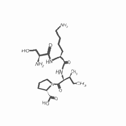 CC[C@H](C)[C@H](NC(=O)[C@H](CCCCN)NC(=O)[C@@H](N)CO)C(=O)N1CCC[C@H]1C(=O)O